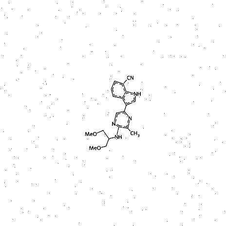 COCC(COC)Nc1ncc(-c2c[nH]c3c(C#N)cccc23)nc1C